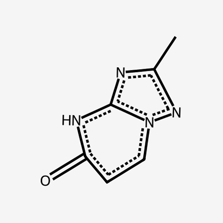 Cc1nc2[nH]c(=O)ccn2n1